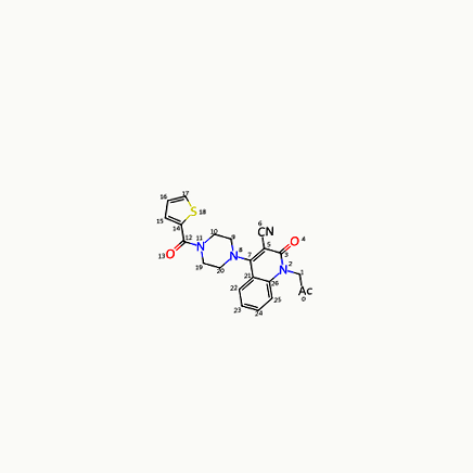 CC(=O)Cn1c(=O)c(C#N)c(N2CCN(C(=O)c3cccs3)CC2)c2ccccc21